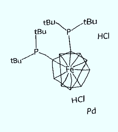 CC(C)(C)P(C(C)(C)C)[C]12[CH]3[CH]4[CH]5[C]1(P(C(C)(C)C)C(C)(C)C)[Fe]43521678[CH]2[CH]1[CH]6[CH]7[CH]28.Cl.Cl.[Pd]